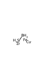 B[SiH3].[Cu].[Fe].[Zr]